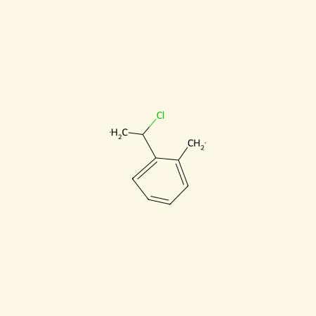 [CH2]c1ccccc1C([CH2])Cl